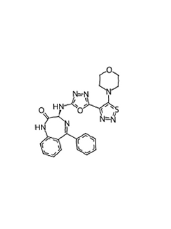 O=C1Nc2ccccc2C(c2ccccc2)=N[C@@H]1Nc1nnc(-c2nnsc2N2CCOCC2)o1